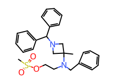 CC1(N(CCOS(C)(=O)=O)Cc2ccccc2)CN(C(c2ccccc2)c2ccccc2)C1